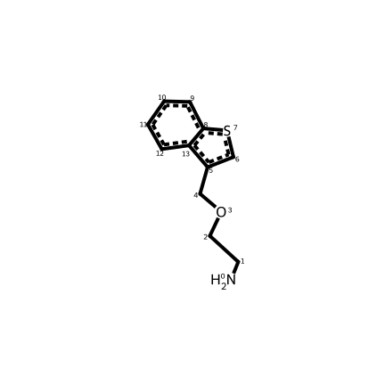 NCCOCc1csc2ccccc12